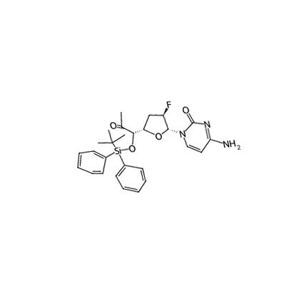 CC(=O)C(O[Si](c1ccccc1)(c1ccccc1)C(C)(C)C)[C@@H]1C[C@@H](F)[C@H](n2ccc(N)nc2=O)O1